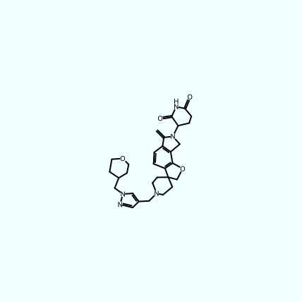 C=C1c2ccc3c(c2CN1C1CCC(=O)NC1=O)OCC31CCN(Cc2cnn(CC3CCOCC3)c2)CC1